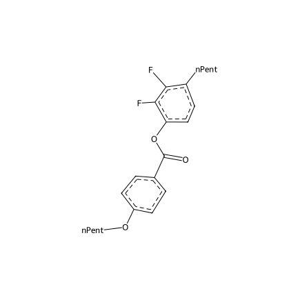 CCCCCOc1ccc(C(=O)Oc2ccc(CCCCC)c(F)c2F)cc1